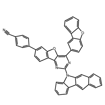 N#Cc1ccc(-c2ccc3c(c2)oc2c(-c4ccc5oc6ccccc6c5c4)nc(-n4c5ccccc5c5cc6ccccc6cc54)nc23)cc1